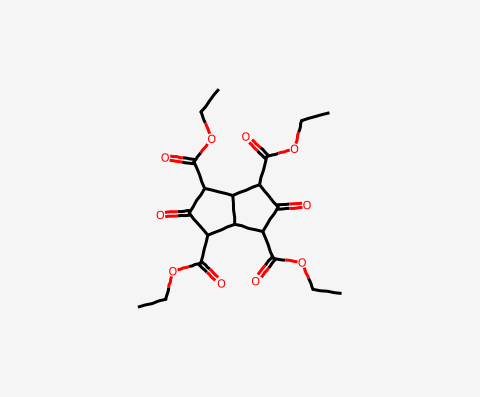 CCOC(=O)C1C(=O)C(C(=O)OCC)C2C(C(=O)OCC)C(=O)C(C(=O)OCC)C12